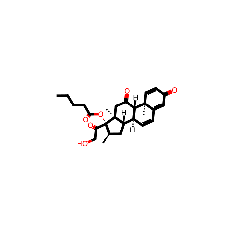 CCCCC(=O)O[C@@]1(C(=O)CO)[C@H](C)C[C@H]2[C@@H]3C=CC4=CC(=O)C=C[C@]4(C)[C@H]3C(=O)C[C@@]21C